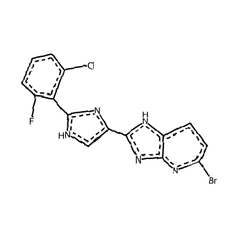 Fc1cccc(Cl)c1-c1nc(-c2nc3nc(Br)ccc3[nH]2)c[nH]1